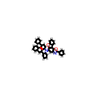 c1ccc(-c2ccc(N(c3ccccc3-c3ccc4ccccc4c3)c3cc4nc(-c5ccccc5)oc4c4c3oc3ccccc34)cc2)cc1